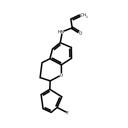 C=CC(=O)Nc1ccc2c(c1)CCC(c1cccc(F)c1)O2